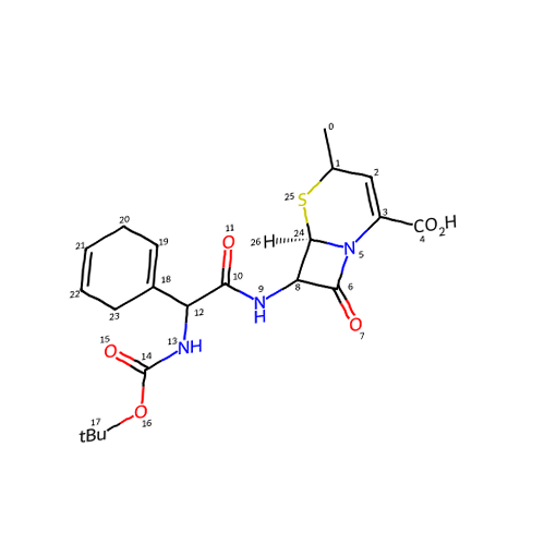 CC1C=C(C(=O)O)N2C(=O)C(NC(=O)C(NC(=O)OC(C)(C)C)C3=CCC=CC3)[C@H]2S1